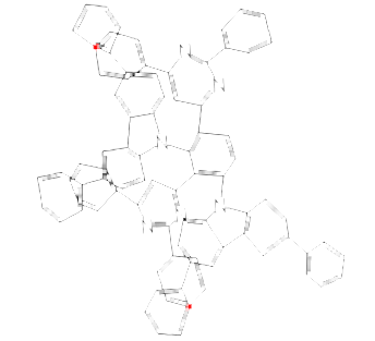 c1ccc(-c2ccc3c(c2)c2cc(-c4ccccc4)ccc2n3-c2ccc(-c3cc(-c4ccccc4)nc(-c4ccccc4)n3)c(-n3c4ccc(-c5ccccc5)cc4c4cc(-c5ccccc5)ccc43)c2-c2cc(-c3ccccc3)nc(-c3ccccc3)n2)cc1